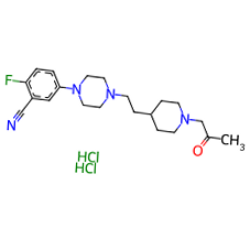 CC(=O)CN1CCC(CCN2CCN(c3ccc(F)c(C#N)c3)CC2)CC1.Cl.Cl